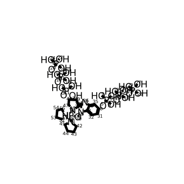 O=P(O)(O)O.O=P(O)(O)O.O=P(O)(O)O.O=P(O)(O)O.O=P(O)(O)O.O=P(O)(O)O.c1ccc2c(c1)nnn2O[PH](N1CCCC1)(N1CCCC1)N1CCCC1